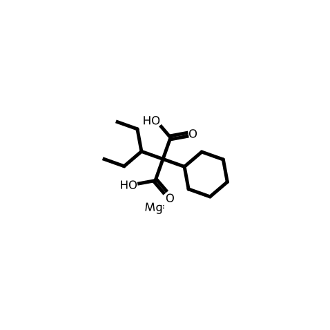 CCC(CC)C(C(=O)O)(C(=O)O)C1CCCCC1.[Mg]